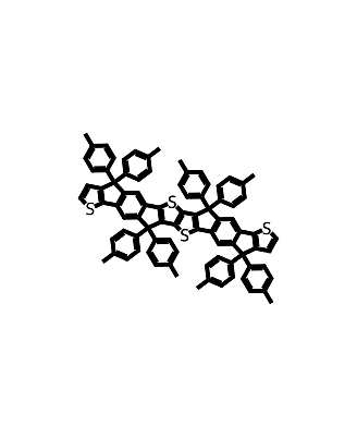 Cc1ccc(C2(c3ccc(C)cc3)c3cc4c(cc3-c3sccc32)C(c2ccc(C)cc2)(c2ccc(C)cc2)c2c-4sc3c4c(sc23)-c2cc3c(cc2C4(c2ccc(C)cc2)c2ccc(C)cc2)-c2sccc2C3(c2ccc(C)cc2)c2ccc(C)cc2)cc1